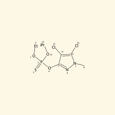 CCOP(=S)(Oc1nn(C)c(Cl)c1Cl)OC(C)C